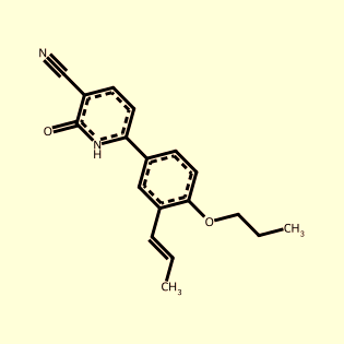 C/C=C/c1cc(-c2ccc(C#N)c(=O)[nH]2)ccc1OCCC